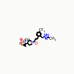 Cc1nnn(Cc2cc(C(F)(F)F)ccc2/C=C/C(=O)N2CCC(C3(N(C)[SH](=O)=O)CC3)CC2)n1